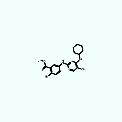 COC(=O)c1cc(Nc2ncc(C)c(NC3CCCCC3)n2)ccc1Br